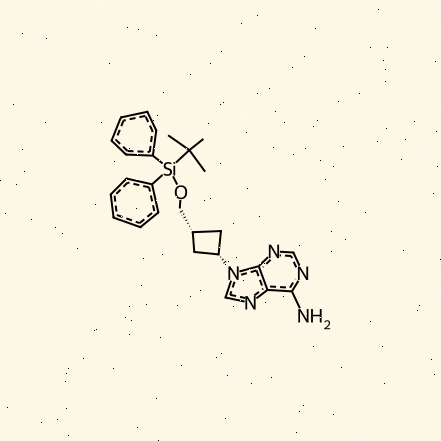 CC(C)(C)[Si](OC[C@H]1C[C@@H](n2cnc3c(N)ncnc32)C1)(c1ccccc1)c1ccccc1